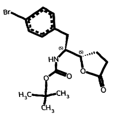 CC(C)(C)OC(=O)N[C@@H](Cc1ccc(Br)cc1)[C@@H]1CCC(=O)O1